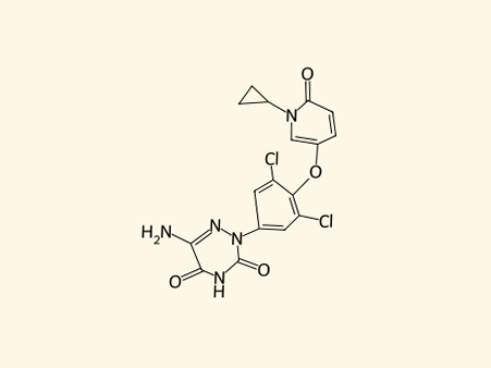 Nc1nn(-c2cc(Cl)c(Oc3ccc(=O)n(C4CC4)c3)c(Cl)c2)c(=O)[nH]c1=O